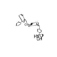 C[C@@H]1CN(C(=O)Cc2cccc(-c3ccccc3)c2)C[C@H](C)N1Cc1ccc(C(=O)NO)cc1